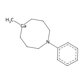 [CH3][Ga]1[CH2]CCN(c2ccccc2)CC[CH2]1